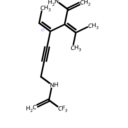 C=C(N)C(=C(C)C)/C(C#CCNC(=C)C(F)(F)F)=C\C